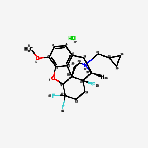 COc1ccc2c3c1OC1C(F)(F)CC[C@@]4(F)[C@@H](C2)N(CC2CC2)CC[C@]314.Cl